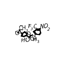 C[S+]([O-])c1ccc(C(C)(O)C(=O)Nc2ccc([N+](=O)[O-])c(C(F)(F)F)c2)cc1